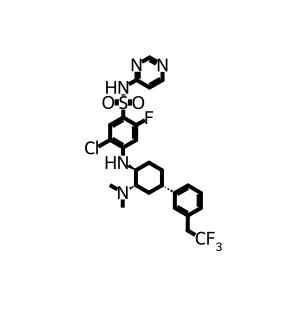 CN(C)[C@H]1C[C@@H](c2cccc(CC(F)(F)F)c2)CC[C@@H]1Nc1cc(F)c(S(=O)(=O)Nc2ccncn2)cc1Cl